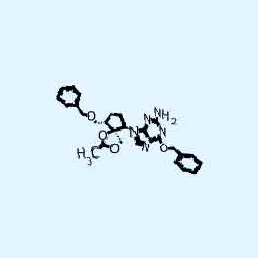 CC1OC[C@]2(O1)[C@H](COCc1ccccc1)CC[C@@H]2n1cnc2c(OCc3ccccc3)nc(N)nc21